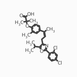 CC(=CCc1nc(-c2ccc(Cl)cc2Cl)oc1C(C)C)c1ccc(OC(C)(C)C(=O)O)c(C)c1